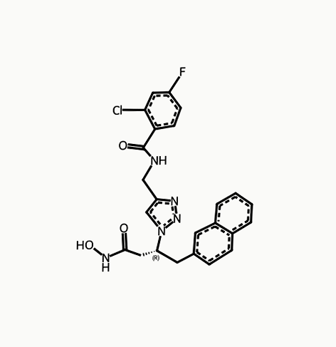 O=C(C[C@@H](Cc1ccc2ccccc2c1)n1cc(CNC(=O)c2ccc(F)cc2Cl)nn1)NO